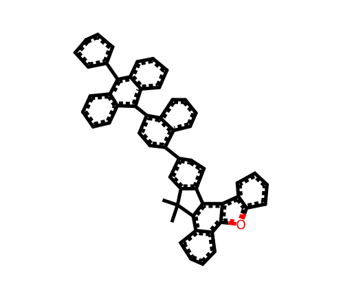 CC1(C)c2cc(-c3ccc(-c4c5ccccc5c(-c5ccccc5)c5ccccc45)c4ccccc34)ccc2-c2c1c1ccccc1c1oc3ccccc3c21